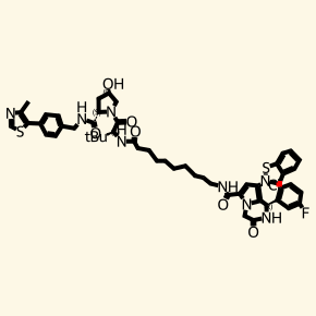 Cc1ncsc1-c1ccc(CNC(=O)[C@@H]2C[C@@H](O)CN2C(=O)[C@@H](NC(=O)CCCCCCCCCNC(=O)c2cc(N3Cc4ccccc4S3)c3n2CC(=O)N[C@@H]3c2cc(F)ccc2Cl)C(C)(C)C)cc1